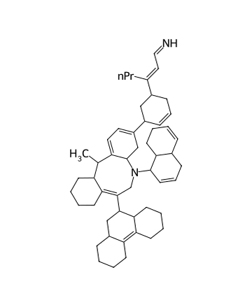 CCC/C(=C\C=N)C1CC=CC(C2=CC=C3C(C)C4CCCC/C4=C(\C4CC5CCCCC5=C5CCCCC54)CN(C4C=CCC5C=CCCC54)C3C2)C1